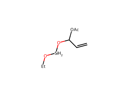 C=CC(O[SiH2]OCC)OC(C)=O